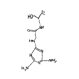 CCC(O)NC(=O)CNc1nc(N)nc(N)n1